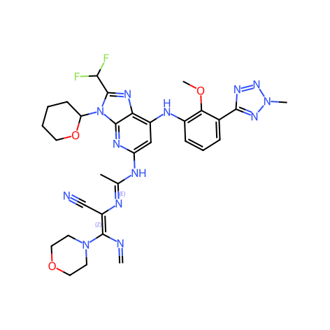 C=N/C(=C(C#N)\N=C(/C)Nc1cc(Nc2cccc(-c3nnn(C)n3)c2OC)c2nc(C(F)F)n(C3CCCCO3)c2n1)N1CCOCC1